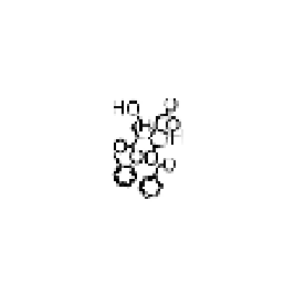 O=C1C[C@@H]2[C@H](/C(=C\CO)C3OCc4ccccc4O3)[C@H](OC(=O)c3ccccc3)C[C@@H]2O1